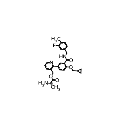 Cc1ccc(CNC(=O)c2cc(-c3ncccc3COC(=O)[C@H](C)N)ccc2OCC2CC2)cc1F